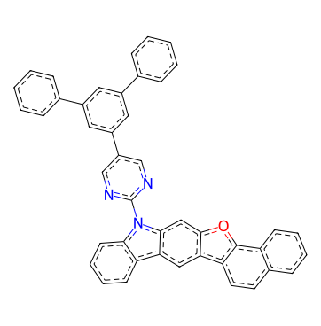 c1ccc(-c2cc(-c3ccccc3)cc(-c3cnc(-n4c5ccccc5c5cc6c(cc54)oc4c5ccccc5ccc64)nc3)c2)cc1